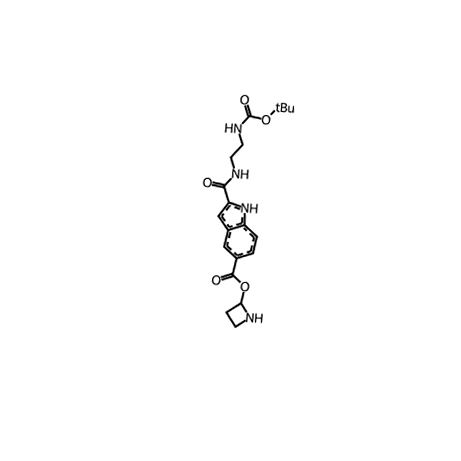 CC(C)(C)OC(=O)NCCNC(=O)c1cc2cc(C(=O)OC3CCN3)ccc2[nH]1